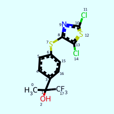 CC(O)(c1ccc(Sc2nc(Cl)sc2Cl)cc1)C(F)(F)F